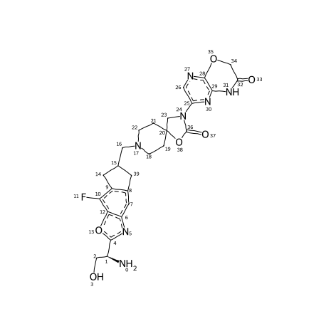 N[C@@H](CO)c1nc2cc3c(c(F)c2o1)CC(CN1CCC2(CC1)CN(c1cnc4c(n1)NC(=O)CO4)C(=O)O2)C3